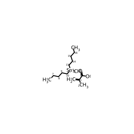 C=C(C)C(=O)[O-].CCCC[CH2][Sn+]([CH3])[CH2]CCCC